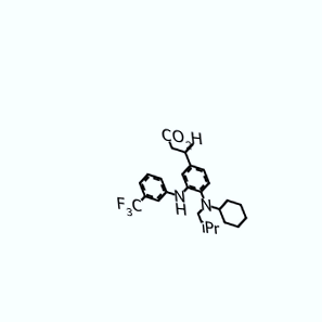 CC(C)CN(c1ccc(C(C)CC(=O)O)cc1Nc1cccc(C(F)(F)F)c1)C1CCCCC1